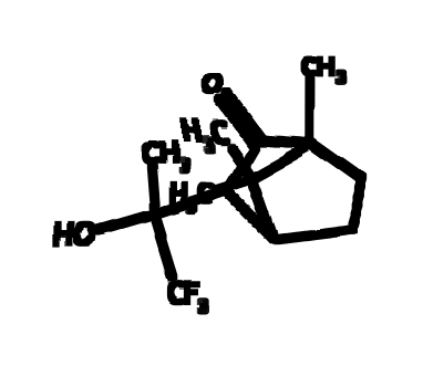 CC12CCC(C(C(C)(O)C(F)(F)F)C1=O)C2(C)C